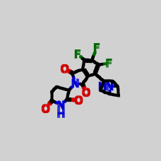 O=C1CCC(N2C(=O)c3c(F)c(F)c(F)c(C4CC5CC(C4)N5)c3C2=O)C(=O)N1